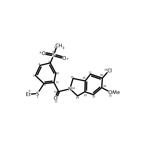 CCSc1ccc(S(C)(=O)=O)cc1C(=O)N1Cc2cc(Cl)c(OC)cc2C1